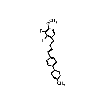 COc1ccc(CC/C=C/c2ccc(C3CC=C(C)CC3)cc2)c(F)c1F